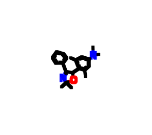 Cc1cc(N(C)C)cc(C)c1C1OC(C)(C)N=C1c1ccccc1